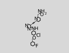 NC(=O)Cc1cccc(C#Cc2cncnc2Nc2ccc(OCc3cccc(F)c3)c(Cl)c2)n1